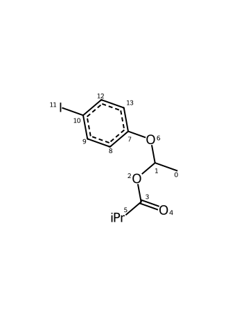 CC(OC(=O)C(C)C)Oc1ccc(I)cc1